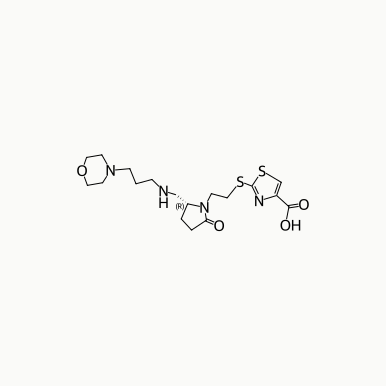 O=C(O)c1csc(SCCN2C(=O)CC[C@@H]2CNCCCN2CCOCC2)n1